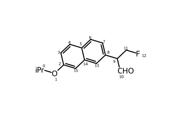 CC(C)Oc1ccc2ccc(C(C=O)CF)cc2c1